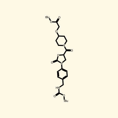 CC(C)(C)OC(=O)COC1CCN(C(=O)C2CN(c3ccc(CNC(=O)OC(C)(C)C)cc3)C(=O)O2)CC1